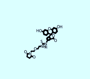 O=C1OC2(c3ccc(O)cc3Oc3cc(O)ccc32)c2ccc(NC(=S)NCCOCCN3C(=O)CCC3=O)cc21